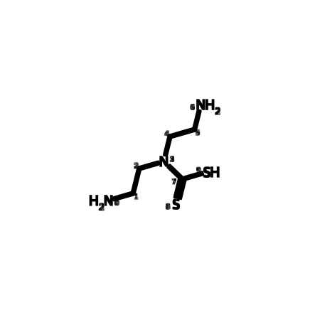 NCCN(CCN)C(=S)S